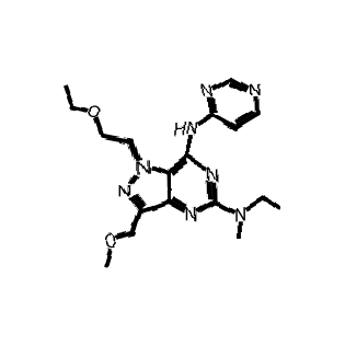 CCOCCn1nc(COC)c2nc(N(C)CC)nc(Nc3ccncn3)c21